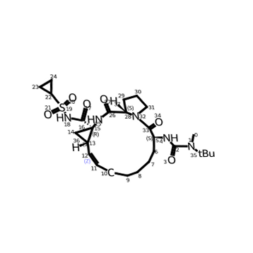 CN(C(=O)N[C@H]1CCCCC/C=C\[C@@H]2C[C@@]2(C(=O)NS(=O)(=O)C2CC2)NC(=O)[C@@H]2CCCN2C1=O)C(C)(C)C